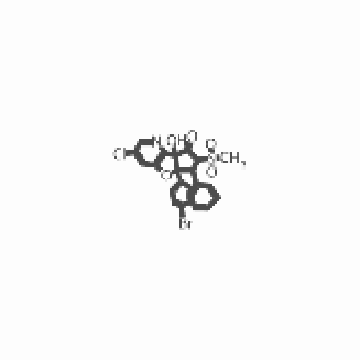 CS(=O)(=O)C1C(=O)C2(O)c3ncc(Cl)cc3OC2(c2ccc(Br)cc2)C1c1ccccc1